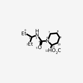 CCC(CC)NC(=O)N1CCCCC1C(=O)O